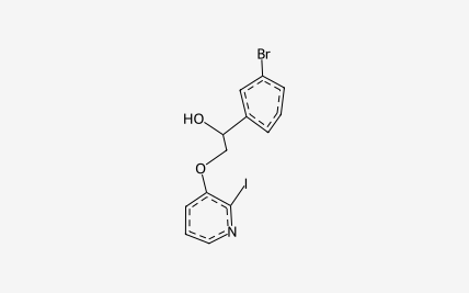 OC(COc1cccnc1I)c1cccc(Br)c1